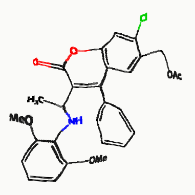 COc1cccc(OC)c1NC(C)c1c(-c2ccccc2)c2cc(COC(C)=O)c(Cl)cc2oc1=O